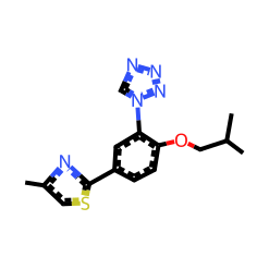 Cc1csc(-c2ccc(OCC(C)C)c(-n3cnnn3)c2)n1